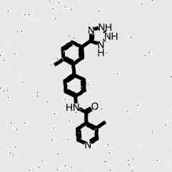 Cc1cnccc1C(=O)Nc1ccc(-c2cc(C3=NNNN3)ccc2C)cc1